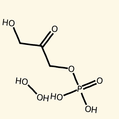 O=C(CO)COP(=O)(O)O.OO